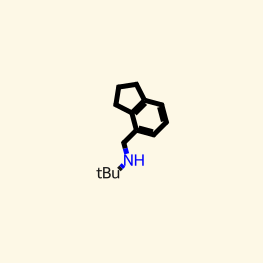 CC(C)(C)NCc1cccc2c1CCC2